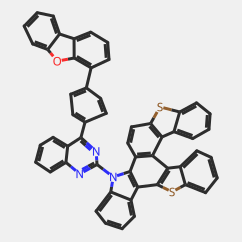 c1ccc2c(-c3ccc(-c4cccc5c4oc4ccccc45)cc3)nc(-n3c4ccccc4c4c5sc6ccccc6c5c5c(ccc6sc7ccccc7c65)c43)nc2c1